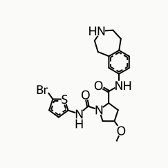 COC1CC(C(=O)Nc2ccc3c(c2)CCNCC3)N(C(=O)Nc2ccc(Br)s2)C1